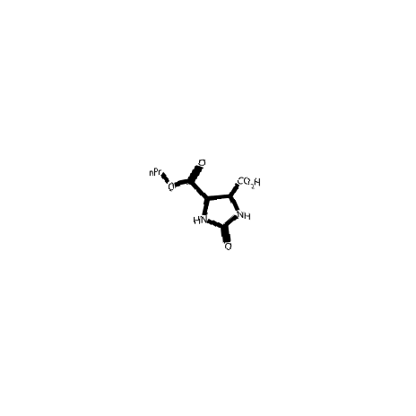 CCCOC(=O)C1NC(=O)NC1C(=O)O